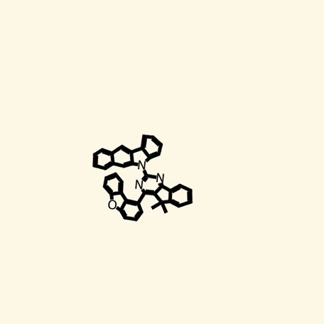 CC1(C)c2ccccc2-c2nc(-n3c4ccccc4c4cc5ccccc5cc43)nc(-c3cccc4oc5ccccc5c34)c21